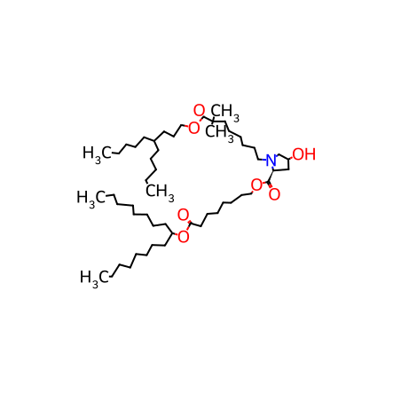 CCCCCCCCC(CCCCCCCC)OC(=O)CCCCCCCOC(=O)[C@@H]1CC(O)CN1CCCCCCC(C)(C)C(=O)OCCCC(CCCCC)CCCCC